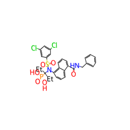 CCC(CC)(N(c1cccc2c(C(=O)NCc3ccccc3)cccc12)S(=O)(=O)c1cc(Cl)cc(Cl)c1)P(=O)(O)O